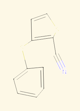 N#Cc1sccc1Sc1ccccc1